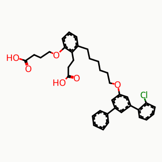 O=C(O)CCCOc1cccc(CCCCCCOc2cc(-c3ccccc3)cc(-c3ccccc3Cl)c2)c1CCC(=O)O